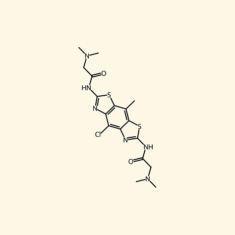 Cc1c2sc(NC(=O)CN(C)C)nc2c(Cl)c2nc(NC(=O)CN(C)C)sc12